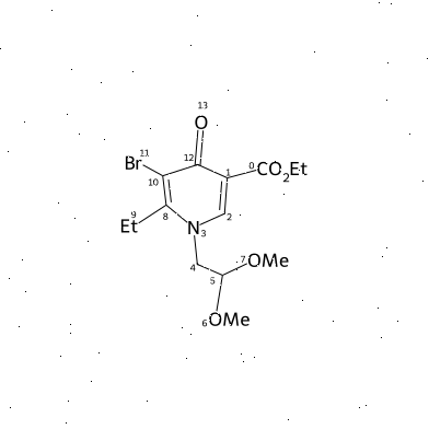 CCOC(=O)c1cn(CC(OC)OC)c(CC)c(Br)c1=O